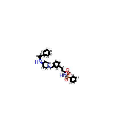 O=C(/C=C/c1cccc(CN2CCC(NC3CC3c3ccccc3)CC2)c1)NS(=O)(=O)c1ccccc1